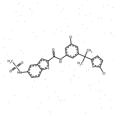 CC(C)(c1cc(Cl)cc(NC(=O)c2cc3cc(NS(C)(=O)=O)ccc3s2)c1)c1ccc(Cl)s1